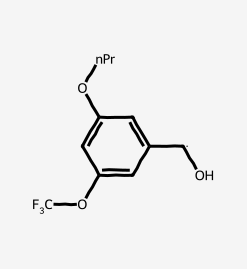 CCCOc1cc([CH]O)cc(OC(F)(F)F)c1